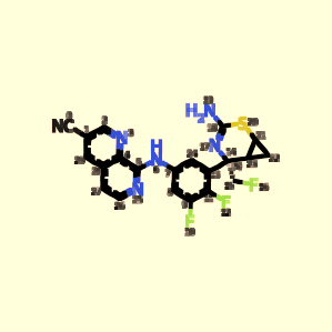 N#Cc1cnc2c(Nc3cc(F)c(F)c([C@@]4(CF)N=C(N)SC5CC54)c3)nccc2c1